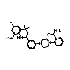 CC1(C)CC(c2cccc(N3CCN(c4ccccc4C(N)=O)CC3)c2)Nc2c([C]=O)cc(F)cc21